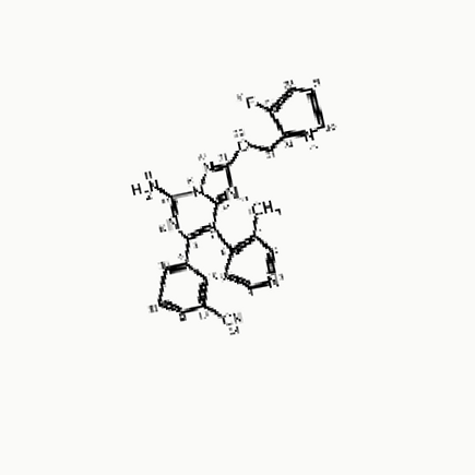 Cc1cnccc1-c1c(-c2cccc(C#N)c2)nc(N)n2nc(OCc3ncccc3F)nc12